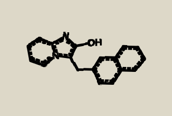 Oc1nc2ccccn2c1Cc1ccc2ccccc2c1